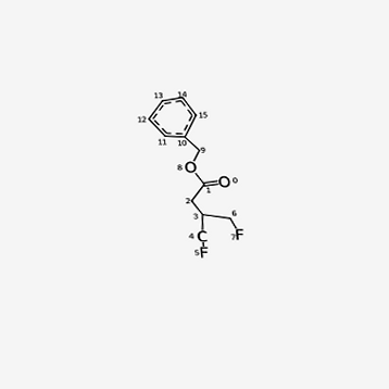 O=C(CC(CF)CF)OCc1ccccc1